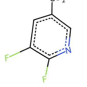 O=C(O)c1cnc(F)c(F)c1